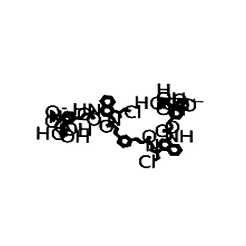 O=C(Nc1cc2c(c3ccccc13)C(CCl)CN2C(=O)/C=C/c1cccc(/C=C/C(=O)N2CC(CCl)c3c2cc(NC(=O)OCc2ccc([N+](=O)[O-])c(O[PH](O)(O)O)c2)c2ccccc32)c1)OCc1ccc([N+](=O)[O-])c(O[PH](O)(O)O)c1